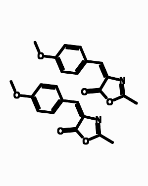 COc1ccc(C=C2N=C(C)OC2=O)cc1.COc1ccc(C=C2N=C(C)OC2=O)cc1